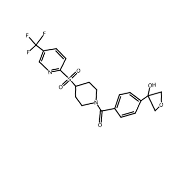 O=C(c1ccc(C2(O)COC2)cc1)N1CCC(S(=O)(=O)c2ccc(C(F)(F)F)cn2)CC1